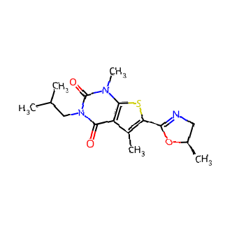 Cc1c(C2=NC[C@@H](C)O2)sc2c1c(=O)n(CC(C)C)c(=O)n2C